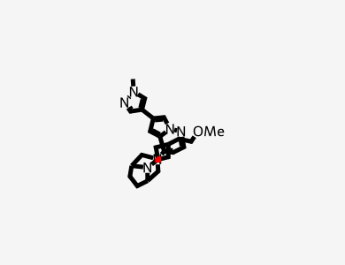 COCCC1CC(N2C3CCC2CN(c2ccnn4cc(-c5cnn(C)c5)cc24)C3)C1